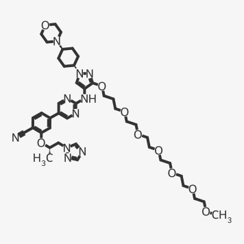 COCCOCCOCCOCCOCCOCCCOc1nn([C@H]2CC[C@H](N3CCOCC3)CC2)cc1Nc1ncc(-c2ccc(C#N)c(O[C@@H](C)Cn3cncn3)c2)cn1